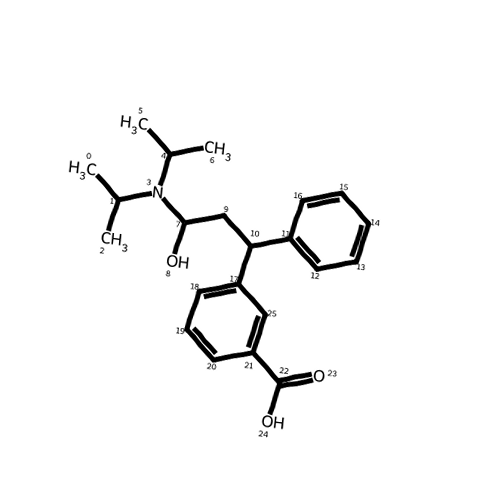 CC(C)N(C(C)C)C(O)CC(c1ccccc1)c1cccc(C(=O)O)c1